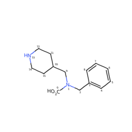 O=C(O)N(Cc1ccccc1)CC1CCNCC1